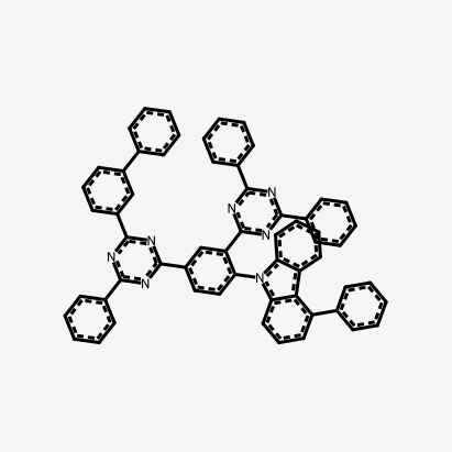 c1ccc(-c2cccc(-c3nc(-c4ccccc4)nc(-c4ccc(-n5c6ccccc6c6c(-c7ccccc7)cccc65)c(-c5nc(-c6ccccc6)nc(-c6ccccc6)n5)c4)n3)c2)cc1